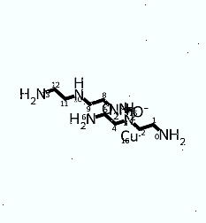 NCCNCCN.NCCNCCN.O=[N+]([O-])[O-].[Cu]